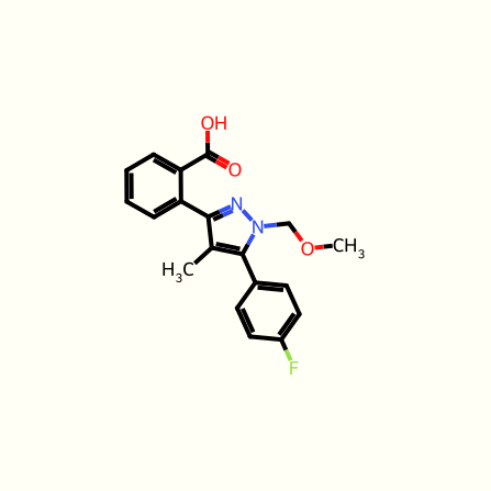 COCn1nc(-c2ccccc2C(=O)O)c(C)c1-c1ccc(F)cc1